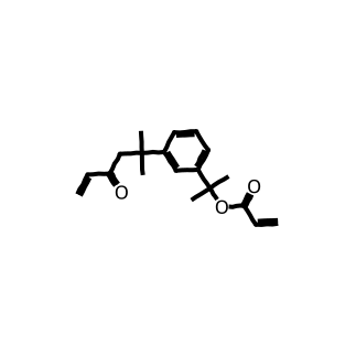 C=CC(=O)CC(C)(C)c1cccc(C(C)(C)OC(=O)C=C)c1